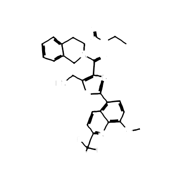 CCOC(=O)[C@H]1Cc2ccccc2CN1C(=O)c1nc(-c2ccc(OC)c3nc(C(F)(F)F)ccc23)oc1CN